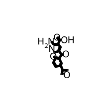 Nc1nc2oc3ccc(C4COC4)cc3c(=O)c2cc1C(=O)O